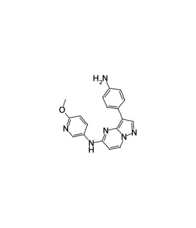 COc1ccc(Nc2ccn3ncc(-c4ccc(N)cc4)c3n2)cn1